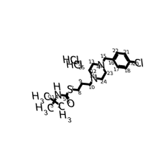 CC(C)(C)NC(=O)SCCCN1CCN(Cc2ccc(Cl)cc2)CC1.Cl.Cl